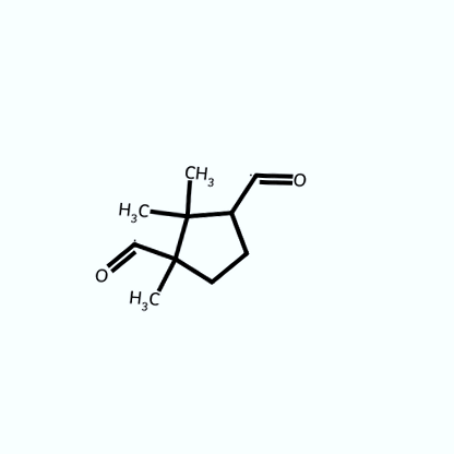 CC1([C]=O)CCC([C]=O)C1(C)C